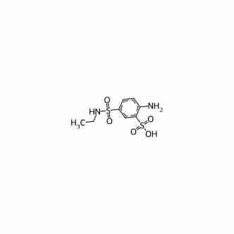 CCNS(=O)(=O)c1ccc(N)c(S(=O)(=O)O)c1